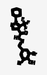 O=C(N/N=C/c1cc(Br)c(O)c(Br)c1)c1cnn(-c2ccccc2)c1C(F)(F)F